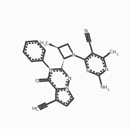 C#Cc1ccn2nc([C@@H]3[C@@H](C)CN3c3nc(N)nc(C)c3C#N)n(-c3ccccc3)c(=O)c12